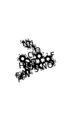 Cc1c(-c2c(-c3ccc(F)c4ccoc34)ncc3snc(OC(Cc4ccccc4OCc4ccnn4CC(F)(F)F)C(=O)O)c23)ccc(OCCN2CCN(C)CC2)c1Cl